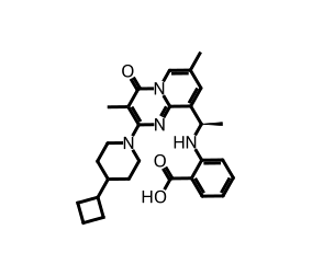 Cc1cc([C@@H](C)Nc2ccccc2C(=O)O)c2nc(N3CCC(C4CCC4)CC3)c(C)c(=O)n2c1